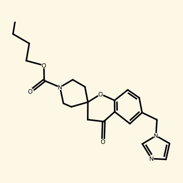 CCCCOC(=O)N1CCC2(CC1)CC(=O)c1cc(Cn3ccnc3)ccc1O2